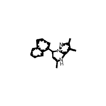 CC1=CC(c2cccc3ccccc23)n2nc(C)c(C)c2N1